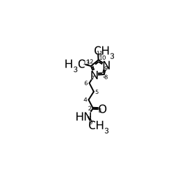 CNC(=O)CCCn1[c]nc(C)c1C